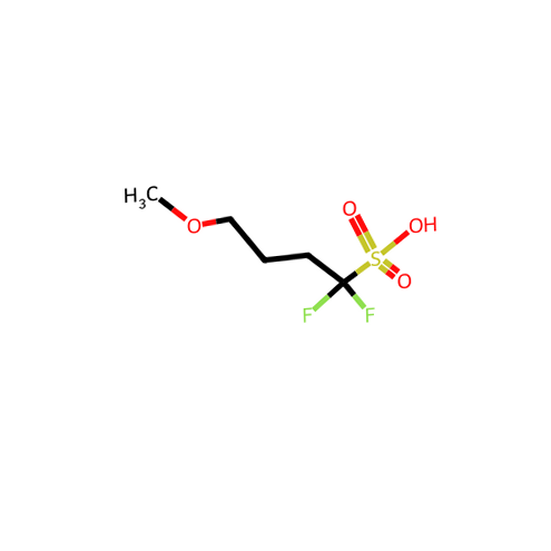 COCCCC(F)(F)S(=O)(=O)O